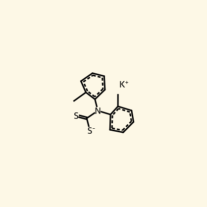 Cc1ccccc1N(C(=S)[S-])c1ccccc1C.[K+]